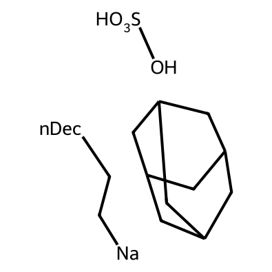 C1C2CC3CC1CC(C2)C3.CCCCCCCCCCC[CH2][Na].O=S(=O)(O)O